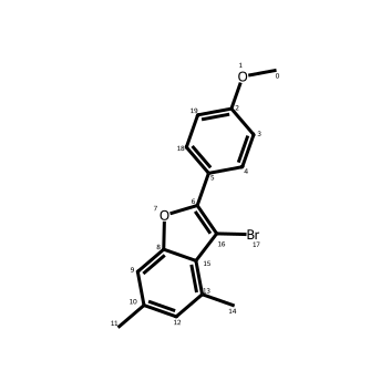 COc1ccc(-c2oc3cc(C)cc(C)c3c2Br)cc1